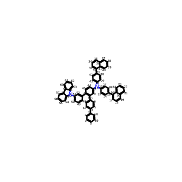 c1ccc(-c2ccc(-c3cc(N(c4ccc(-c5cccc6ccccc56)cc4)c4ccc(-c5cccc6ccccc56)cc4)ccc3-c3cccc(-n4c5ccccc5c5ccccc54)c3)cc2)cc1